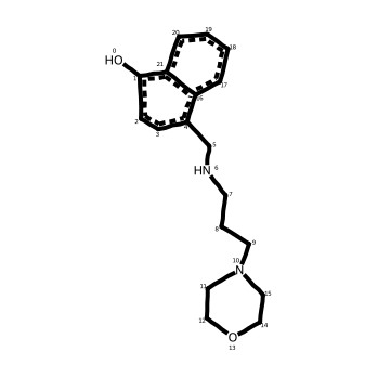 Oc1ccc(CNCCCN2CCOCC2)c2ccccc12